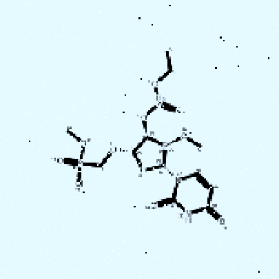 CCO[PH](=S)O[C@@H]1[C@@H](OCP(=O)(O)OC)O[C@@H](n2ccc(=O)[nH]c2=O)[P@]1OC